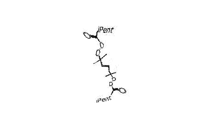 CCCC(C)C(=O)OOC(C)(C)CCC(C)(C)OOC(=O)C(C)CCC